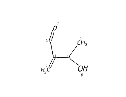 C=C(C=O)C(C)O